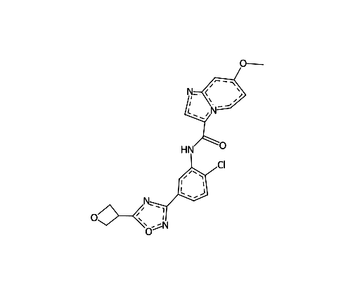 COc1ccn2c(C(=O)Nc3cc(-c4noc(C5COC5)n4)ccc3Cl)cnc2c1